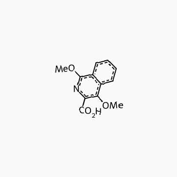 COc1nc(C(=O)O)c(OC)c2ccccc12